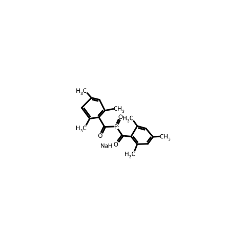 Cc1cc(C)c(C(=O)[P](=O)C(=O)c2c(C)cc(C)cc2C)c(C)c1.[NaH]